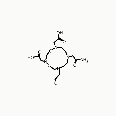 NC(=O)CN1CCN(CCO)CCN(CC(=O)O)CCN(CC(=O)O)CC1